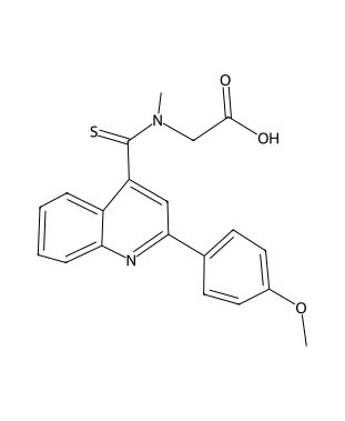 COc1ccc(-c2cc(C(=S)N(C)CC(=O)O)c3ccccc3n2)cc1